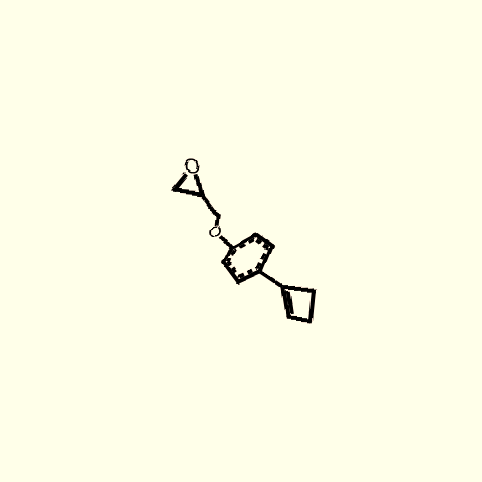 C1=C(c2ccc(OCC3CO3)cc2)CC1